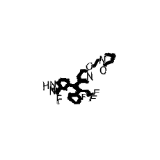 O=C1CCCN1CCOc1ccc(C(=C(CC(F)(F)F)c2ccccc2)c2ccc3[nH]nc(F)c3c2)cn1